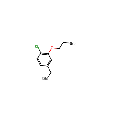 CC(C)(C)CCOc1cc(CC(C)(C)C)ccc1Cl